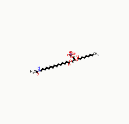 CCCCCCCCC(=O)O[C@@H](COC(=O)CCCCCCCCCCCCCCNC(C)=O)COP(=O)(O)O